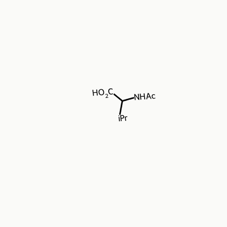 CC(=O)NC(C(=O)O)C(C)C